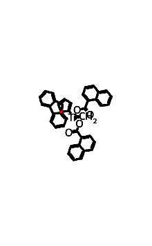 [CH2]=[Ti]([O]C(=O)c1cccc2ccccc12)([O]C(=O)c1cccc2ccccc12)([C]1=CC=CC1)[c]1cccc2c1Cc1ccccc1-2